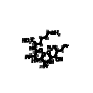 CC(C)CC(N)C(O)C(=O)NC(C(=O)NC(C(=O)NC(CCCCN)C(=O)O)C(C)C)C(C)C